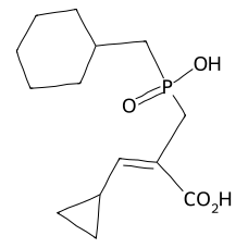 O=C(O)C(=CC1CC1)CP(=O)(O)CC1CCCCC1